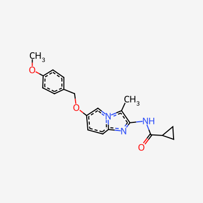 COc1ccc(COc2ccc3nc(NC(=O)C4CC4)c(C)n3c2)cc1